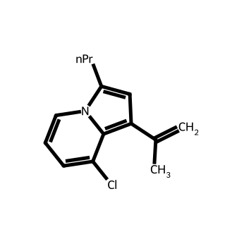 C=C(C)c1cc(CCC)n2cccc(Cl)c12